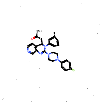 COC(=O)CC1c2ccncc2N=C(N2CCN(c3ccc(F)cc3)CC2)N1c1cccc(C)c1